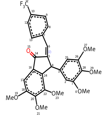 COc1cc(C2/C(=C/c3ccc(C(F)(F)F)cc3)C(=O)c3cc(OC)c(OC)c(OC)c32)cc(OC)c1OC